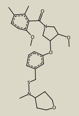 COc1ccc(C)c(C)c1C(=O)N1CC(OC)C(Oc2cccc(CSN(C)C3CCOCC3)c2)C1